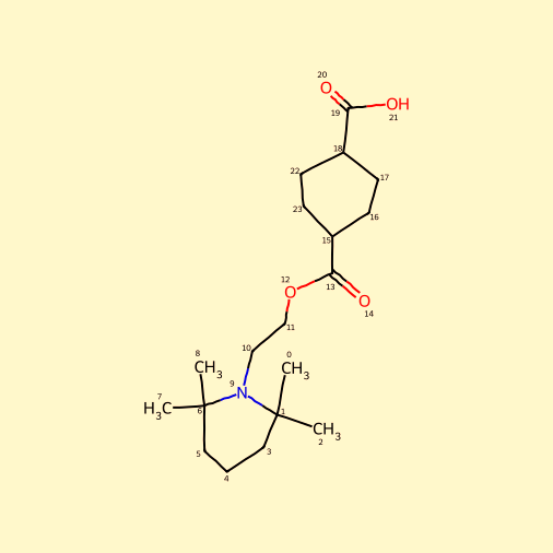 CC1(C)CCCC(C)(C)N1CCOC(=O)C1CCC(C(=O)O)CC1